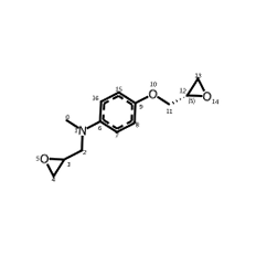 CN(CC1CO1)c1ccc(OC[C@@H]2CO2)cc1